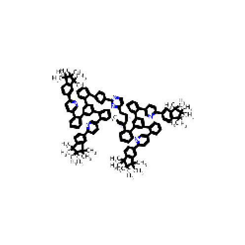 C/C=C(\C=C/Cc1ccnc(-c2ccc(-c3ccccc3-c3cc(-c4ccccc4-c4ccc(-c5ccc6c(c5)C(C)(C)C(C)(C)C6(C)C)nc4)cc(-c4ccccc4-c4ccc(-c5ccc6c(c5)C(C)(C)C(C)(C)C6(C)C)nc4)c3)cc2)n1)c1ccccc1-c1cc(-c2ccccc2-c2ccc(-c3ccc4c(c3)C(C)(C)C(C)(C)C4(C)C)nc2)cc(-c2ccccc2-c2ccc(-c3ccc4c(c3)C(C)(C)C(C)(C)C4(C)C)nc2)c1